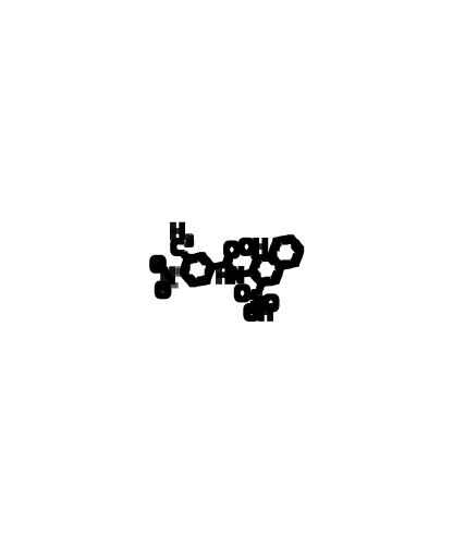 Cc1cc(C(=O)Nc2c(S(=O)(=O)O)cc3ccccc3c2O)ccc1[N+](=O)[O-]